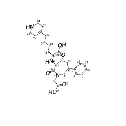 O=C(O)CN1CC(c2ccccc2)CCC(N[C@@H](CCCCC2CCNCC2)C(=O)O)C1=O